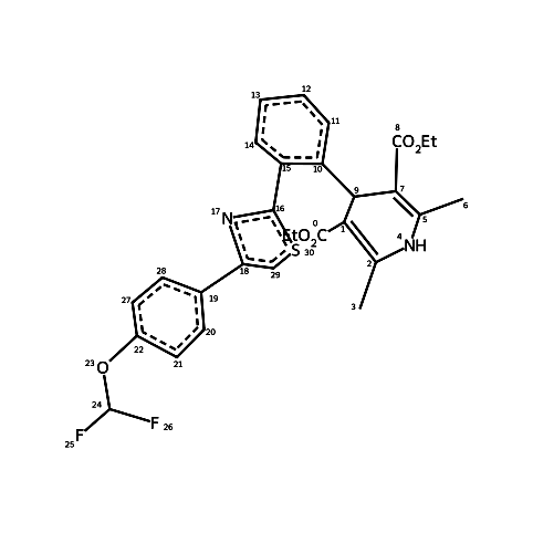 CCOC(=O)C1=C(C)NC(C)=C(C(=O)OCC)C1c1ccccc1-c1nc(-c2ccc(OC(F)F)cc2)cs1